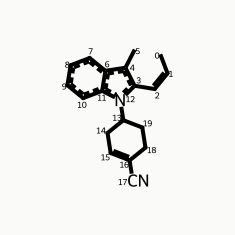 C/C=C\c1c(C)c2ccccc2n1C1CC=C(C#N)CC1